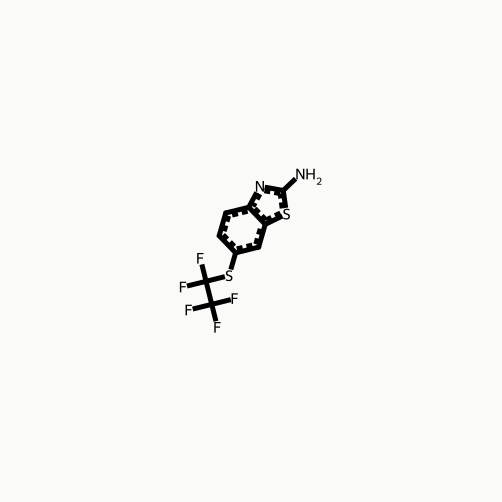 Nc1nc2ccc(SC(F)(F)C(F)(F)F)cc2s1